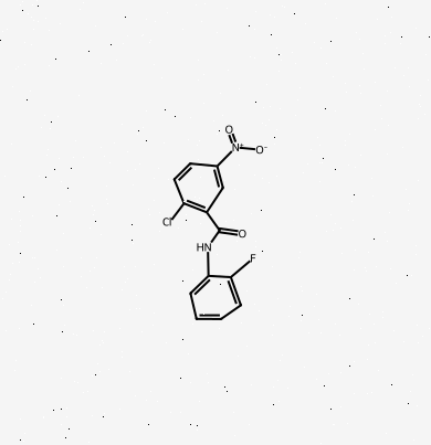 O=C(Nc1ccccc1F)c1cc([N+](=O)[O-])ccc1Cl